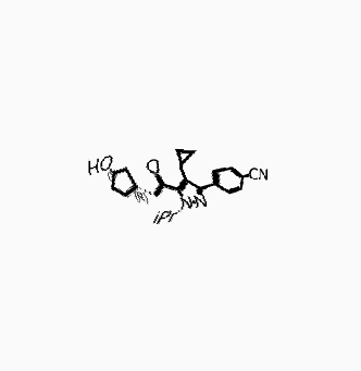 CC(C)n1nc(-c2ccc(C#N)cc2)c(C2CC2)c1C(=O)C[C@@H]1CC[C@H](O)C1